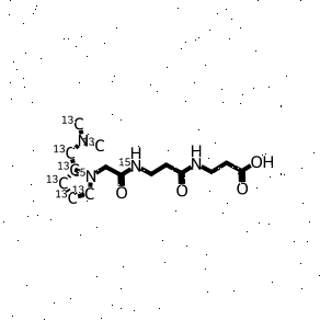 [13CH3]N([13CH3])[13CH2][13CH]1[13CH2][13CH2][13CH2][15N]1CC(=O)[15NH]CCC(=O)NCCC(=O)O